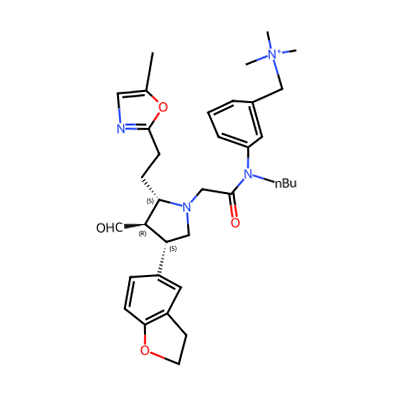 CCCCN(C(=O)CN1C[C@H](c2ccc3c(c2)CCO3)[C@@H](C=O)[C@@H]1CCc1ncc(C)o1)c1cccc(C[N+](C)(C)C)c1